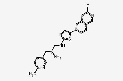 Cc1ccc(C[C@H](N)CNc2ncc(-c3ccc4cnc(F)cc4c3)s2)cn1